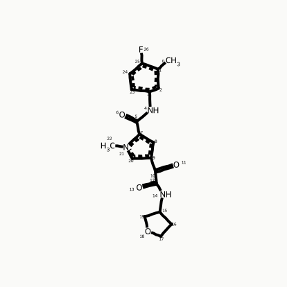 Cc1cc(NC(=O)c2cc(C(=O)C(=O)NC3CCOC3)cn2C)ccc1F